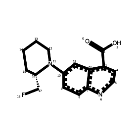 O=C(O)c1ccnc2ccc(N3CCCC[C@H]3CF)cc12